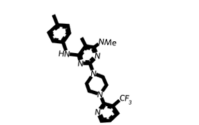 CNc1nc(N2CCN(c3ncccc3C(F)(F)F)CC2)nc(Nc2ccc(C)cc2)c1C